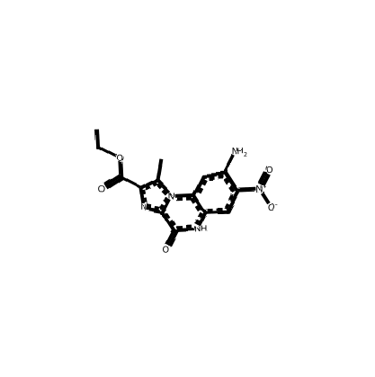 CCOC(=O)c1nc2c(=O)[nH]c3cc([N+](=O)[O-])c(N)cc3n2c1C